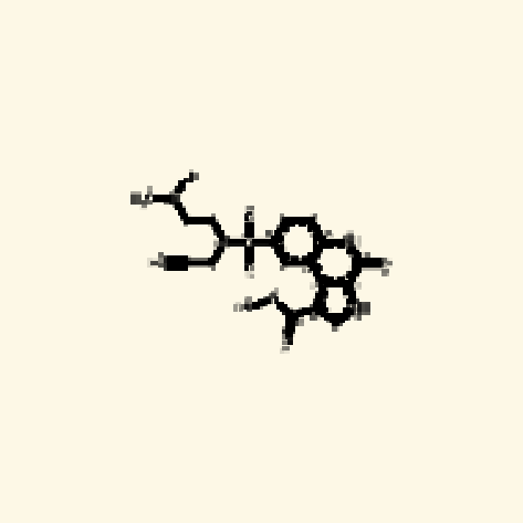 C#CCN(CCN(C)Cl)S(=O)(=O)c1ccc2[nH]c(=O)c3[nH]cc(C(=O)OCCC)c3c2c1